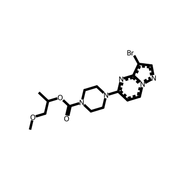 COCC(C)OC(=O)N1CCN(c2ccn3ncc(Br)c3n2)CC1